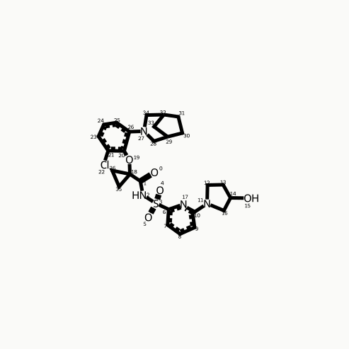 O=C(NS(=O)(=O)c1cccc(N2CCC(O)C2)n1)C1(Oc2c(Cl)cccc2N2CC3CCC(C3)C2)CC1